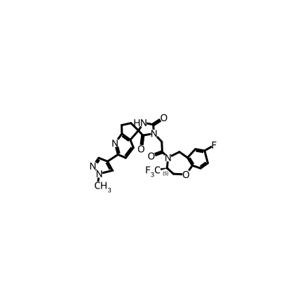 Cn1cc(-c2ccc3c(n2)CCC32NC(=O)N(CC(=O)N3Cc4cc(F)ccc4OC[C@H]3C(F)(F)F)C2=O)cn1